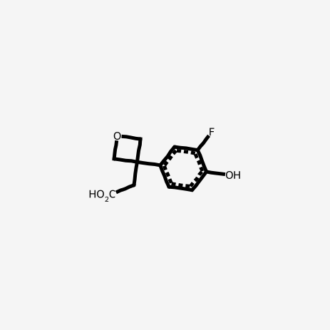 O=C(O)CC1(c2ccc(O)c(F)c2)COC1